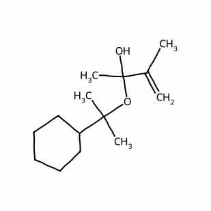 C=C(C)C(C)(O)OC(C)(C)C1CCCCC1